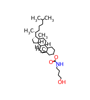 CC(C)CCC[C@@H](C)[C@H]1CC[C@H]2[C@@H]3CC=C4C[C@@H](OC(=O)NCCCCO)CC[C@]4(C)[C@H]3CC[C@]12C